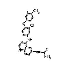 Cc1ccc(Oc2ccc(Nc3ncnc4ccc(C#CC(N)=O)cc34)cc2Cl)cn1